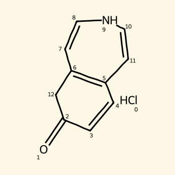 Cl.O=C1C=CC2=C(C=CNC=C2)C1